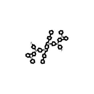 Fc1ccc(N(c2ccc(-n3c(-c4ccc(-c5ccccc5)cc4)cc4cc5c(cc(-c6ccc(-c7ccccc7)cc6)n5-c5ccc(N(c6ccc(F)cc6)c6ccc7c(c6)c6ccccc6n7-c6ccccc6)cc5)cc43)cc2)c2ccc3c(c2)c2ccccc2n3-c2ccccc2)cc1